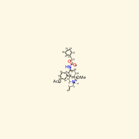 C=CC[N@@+]1(C)CC[C@@]2(c3cccc(OC(C)=O)c3)C[C@@H](NC(=O)OCc3ccccc3)CCC2(OC)C1